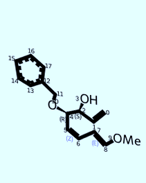 C=C[C@H](O)[C@@H](/C=C\C=C\OC)OCc1ccccc1